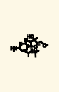 C=C1[C@](C)(O)[C@@H](COC)O[C@]1(n1ccc(NC)nc1=O)[SiH](C(C)C)C(C)C